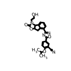 CC(C)Oc1ccc(-c2nc(-c3cccc4c3CC3OC(=O)N(CCO)C43)no2)cc1C#N